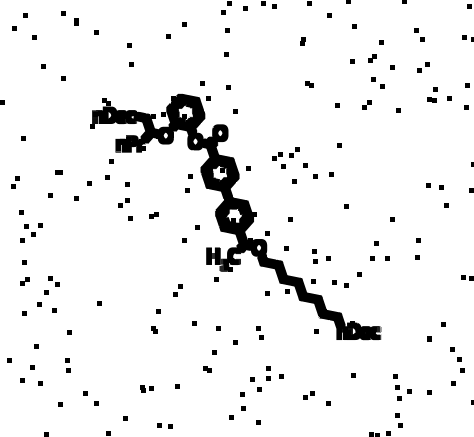 CCCCCCCCCCCCCCCCCCOC(C)c1ccc(-c2ccc(C(=O)Oc3ccccc3OC(CCC)CCCCCCCCCCC)cc2)cc1